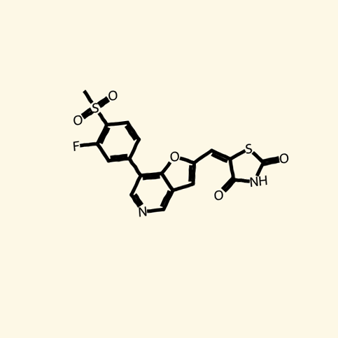 CS(=O)(=O)c1ccc(-c2cncc3cc(C=C4SC(=O)NC4=O)oc23)cc1F